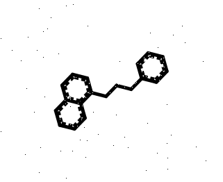 [CH](Cc1ccccc1)Cc1cccc2ccccc12